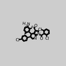 Nc1ccc(F)c(-c2c(-c3ccc(Cl)cc3)cnc3c2c(C=O)cn3C(=O)c2c(Cl)cccc2Cl)c1F